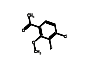 COc1c(C(C)=O)ccc(Cl)c1F